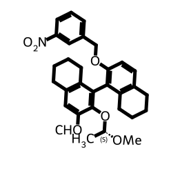 CO[C@H](C)Oc1c(C=O)cc2c(c1-c1c(OCc3cccc([N+](=O)[O-])c3)ccc3c1CCCC3)CCCC2